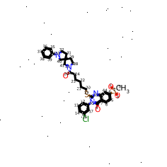 CS(=O)(=O)c1ccc2c(=O)n(-c3cccc(Cl)c3)c(SCCCCCC(=O)N3CCC4(CCN(c5ccccc5)C4)C3)nc2c1